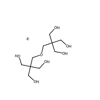 OCC(CO)(CO)COCC(CO)(CO)CO.[K]